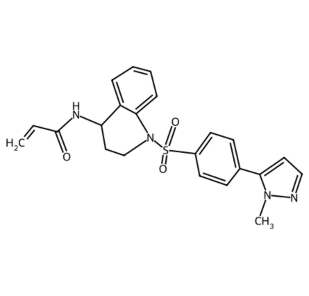 C=CC(=O)NC1CCN(S(=O)(=O)c2ccc(-c3ccnn3C)cc2)c2ccccc21